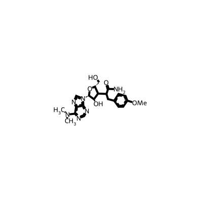 COc1ccc(CC(C(N)=O)C2[C@@H](O)[C@H](n3cnc4c(N(C)C)ncnc43)O[C@@H]2CO)cc1